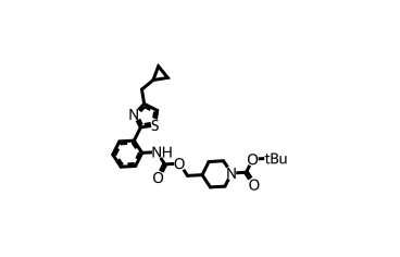 CC(C)(C)OC(=O)N1CCC(COC(=O)Nc2ccccc2-c2nc(CC3CC3)cs2)CC1